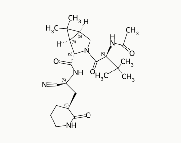 CC(=O)N[C@H](C(=O)N1C[C@H]2[C@@H]([C@H]1C(=O)N[C@H](C#N)C[C@@H]1CCCNC1=O)C2(C)C)C(C)(C)C